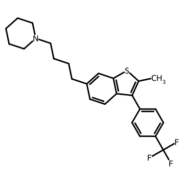 Cc1sc2cc(CCCCN3CCCCC3)ccc2c1-c1ccc(C(F)(F)F)cc1